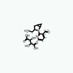 NCC1CC2CC2N1c1ncccc1C=O.O=C(O)C(O)C(O)C(=O)O